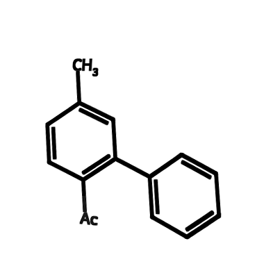 CC(=O)c1ccc(C)cc1-c1ccccc1